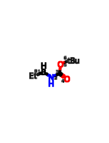 CCBNC(=O)OC(C)(C)C